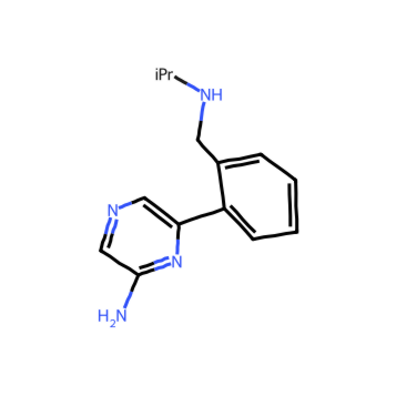 CC(C)NCc1ccccc1-c1cncc(N)n1